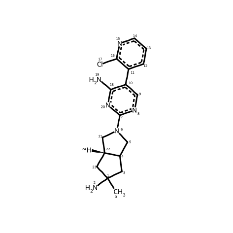 CC1(N)CC2CN(c3ncc(-c4cccnc4Cl)c(N)n3)C[C@H]2C1